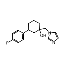 OC1(Cn2ccnc2)CCCC(c2ccc(F)cc2)C1